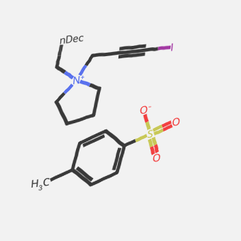 CCCCCCCCCCC[N+]1(CC#CI)CCCC1.Cc1ccc(S(=O)(=O)[O-])cc1